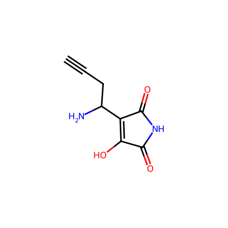 C#CCC(N)C1=C(O)C(=O)NC1=O